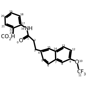 O=C(CCc1ccc2cc(OC(F)(F)F)ccc2c1)Nc1ccccc1C(=O)O